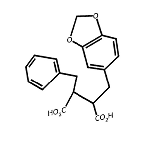 O=C(O)C(Cc1ccccc1)C(Cc1ccc2c(c1)OCO2)C(=O)O